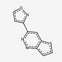 c1cc(-c2cc3sccc3nn2)no1